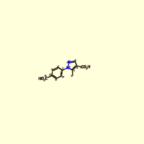 Cc1c(C(=O)O)cnn1-c1ccc(C(=O)O)cc1